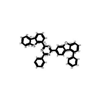 c1ccc(-c2nc(-c3ccc4c(c3)oc3cccc(-c5ccccc5)c34)nc(-c3cccc4c3sc3ccccc34)n2)cc1